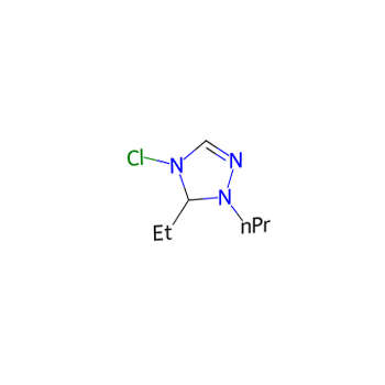 CCCN1N=CN(Cl)C1CC